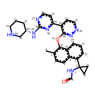 Cc1ccc2c(C3(NC=O)CC3)cccc2c1Oc1nnccc1-c1ccnc(N[C@H]2CCCNC2)n1